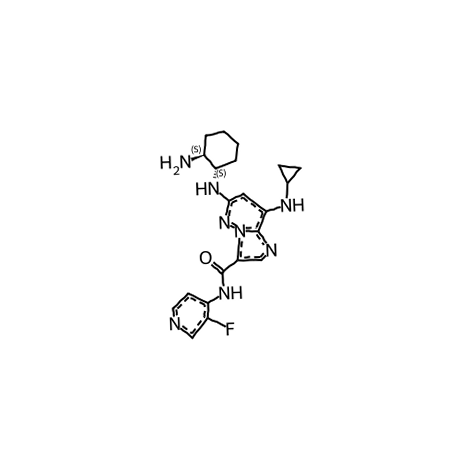 N[C@H]1CCCC[C@@H]1Nc1cc(NC2CC2)c2ncc(C(=O)Nc3ccncc3F)n2n1